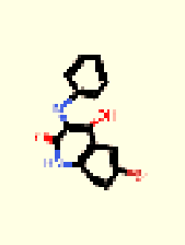 O=c1[nH]c2ccc(Br)cc2c(O)c1Nc1ccccc1